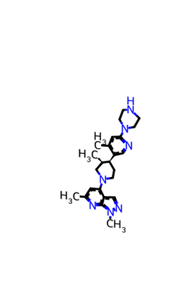 Cc1cc(N2CC[C@H](c3cnc(N4CCNCC4)cc3C)[C@H](C)C2)c2cnn(C)c2n1